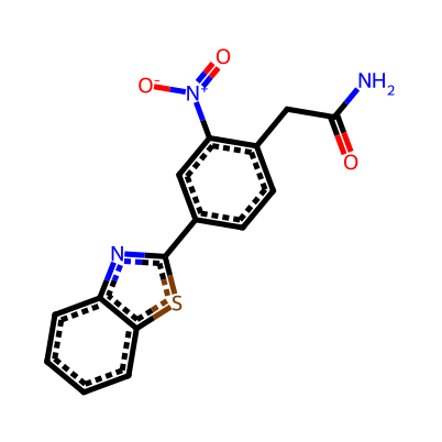 NC(=O)Cc1ccc(-c2nc3ccccc3s2)cc1[N+](=O)[O-]